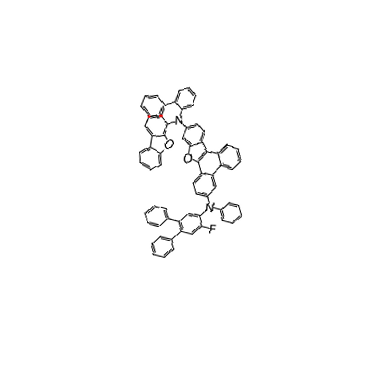 Fc1cc(-c2ccccc2)c(-c2ccccc2)cc1N(c1ccccc1)c1ccc2c(c1)c1ccccc1c1c3ccc(N(c4ccccc4-c4ccccc4)c4cccc5c4oc4ccccc45)cc3oc21